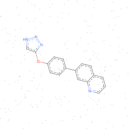 c1cnc2cc(-c3ccc(Oc4c[nH]nn4)cc3)ccc2c1